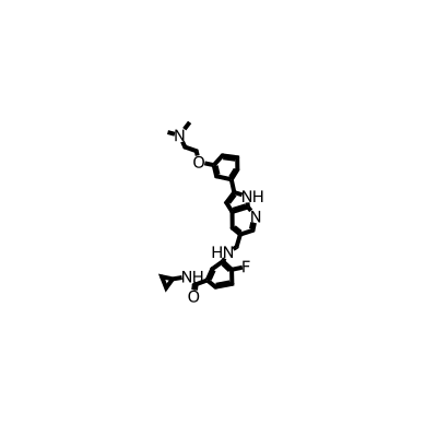 CN(C)CCOc1cccc(-c2cc3cc(CNc4cc(C(=O)NC5CC5)ccc4F)cnc3[nH]2)c1